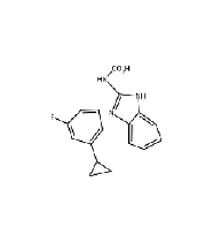 Fc1cccc(C2CC2)c1.O=C(O)Nc1nc2ccccc2[nH]1